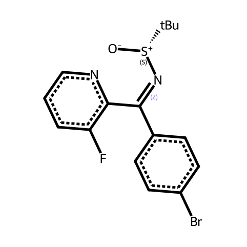 CC(C)(C)[S@@+]([O-])/N=C(/c1ccc(Br)cc1)c1ncccc1F